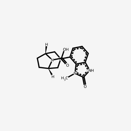 Cn1c(=O)[nH]c2cccc(N3C[C@H]4CC[C@@H](C3)N4C(=O)O)c21